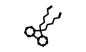 C=CCCCCC1(CCCCC=C)c2ccccc2-c2ccccc21